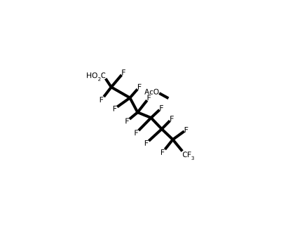 COC(C)=O.O=C(O)C(F)(F)C(F)(F)C(F)(F)C(F)(F)C(F)(F)C(F)(F)C(F)(F)F